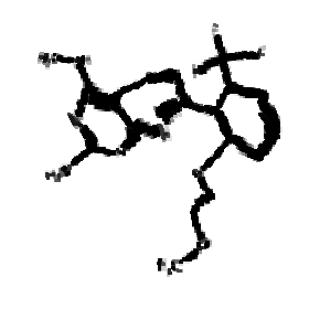 CNc1nc(N)nc2nc(-c3c(OCCOC)cccc3C(F)(F)F)ccc12